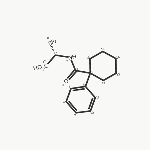 CCC[C@H](NC(=O)C1(c2ccccc2)CCCCC1)C(=O)O